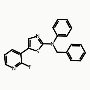 Fc1ncccc1-c1cnc(N(Cc2ccccc2)c2ccccc2)s1